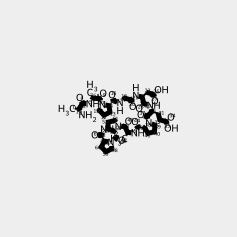 C[C@H](N)C(=O)N[C@@H](C)C(=O)N1CCC[C@H]1C(=O)NCC(=O)N[C@@H](CC(=O)O)C(=O)N[C@@H](CCC(=O)O)C(=O)N1CCC[C@H]1C(=O)N[C@@H](C)C(=O)N1CCC[C@H]1C(=O)N1CCC[C@H]1C(N)=O